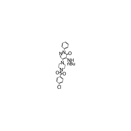 CCCCNc1c(N2CCN(S(=O)(=O)c3ccc(Cl)cc3)CC2)cnn(-c2ccccc2)c1=O